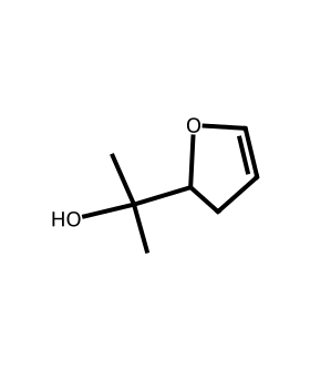 CC(C)(O)C1CC=CO1